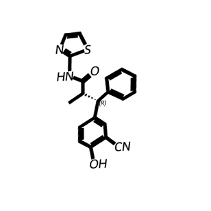 CC(C(=O)Nc1nccs1)[C@H](c1ccccc1)c1ccc(O)c(C#N)c1